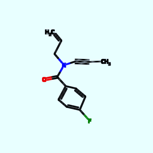 C=CCN(C#CC)C(=O)c1ccc(F)cc1